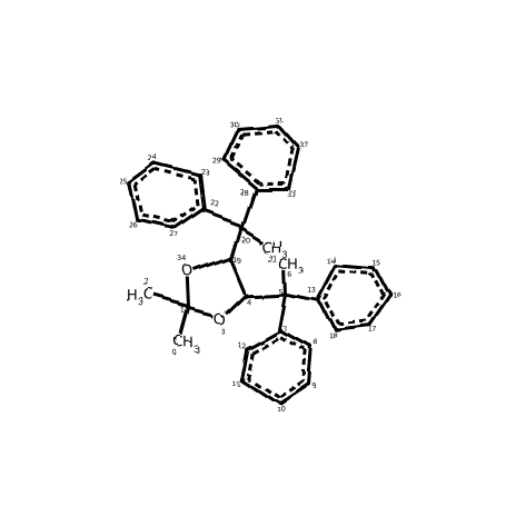 CC1(C)OC(C(C)(c2ccccc2)c2ccccc2)C(C(C)(c2ccccc2)c2ccccc2)O1